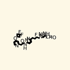 N/C(C=O)=C\N(N)CC(F)CCc1ccc(NC(=O)Cc2cc(OC3CC(F)(F)C3)ccn2)nn1